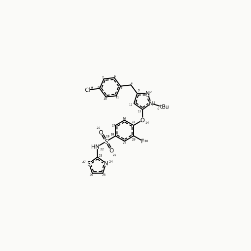 CC(C)(C)n1nc(Cc2ccc(Cl)cc2)cc1Oc1ccc(S(=O)(=O)Nc2nccs2)cc1F